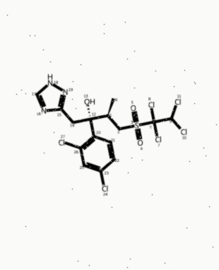 C[C@@H](CS(=O)(=O)C(Cl)(Cl)C(Cl)Cl)[C@](O)(Cc1nc[nH]n1)c1ccc(Cl)cc1Cl